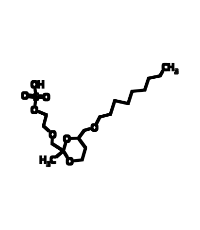 CCCCCCCCCOCC1CCOC(C)(COCCOS(=O)(=O)O)O1